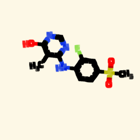 Cc1c(O)ncnc1Nc1ccc(S(C)(=O)=O)cc1F